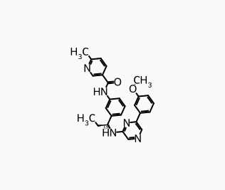 CC[C@H](Nc1cncc(-c2cccc(OC)c2)n1)c1cccc(NC(=O)c2ccc(C)nc2)c1